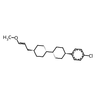 COC=CC[C@H]1CC[C@H]([C@H]2CC[C@H](c3ccc(Cl)cc3)CC2)CC1